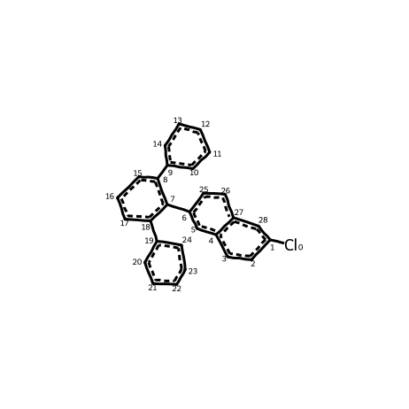 Clc1ccc2cc(-c3c(-c4ccccc4)cccc3-c3ccccc3)ccc2c1